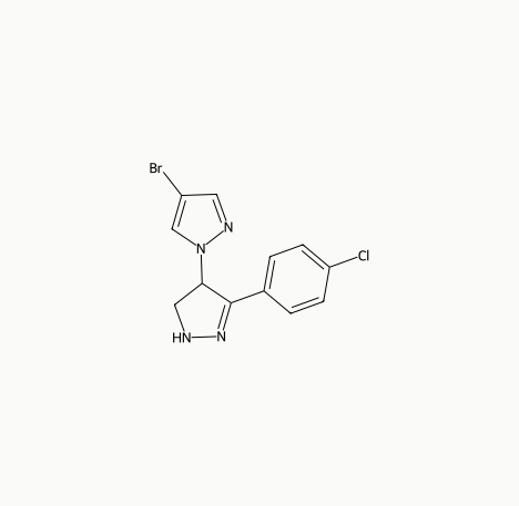 Clc1ccc(C2=NNCC2n2cc(Br)cn2)cc1